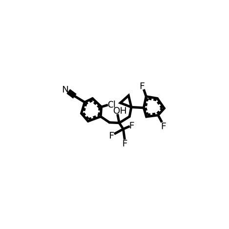 N#Cc1ccc(CC(O)(CC2(c3cc(F)ccc3F)CC2)C(F)(F)F)c(Cl)c1